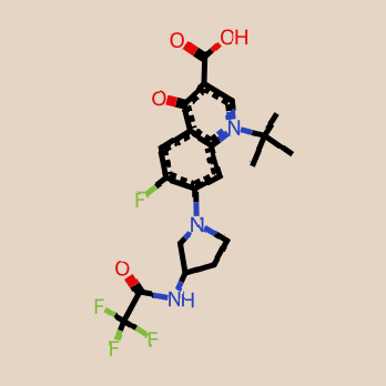 CC(C)(C)n1cc(C(=O)O)c(=O)c2cc(F)c(N3CCC(NC(=O)C(F)(F)F)C3)cc21